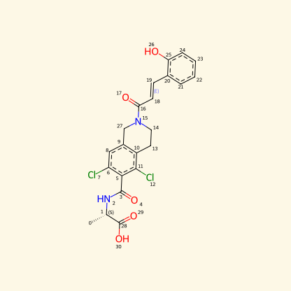 C[C@H](NC(=O)c1c(Cl)cc2c(c1Cl)CCN(C(=O)/C=C/c1ccccc1O)C2)C(=O)O